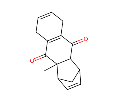 CC12C(=O)C3=C(CC=CC3)C(=O)C1C1C=CC2C1